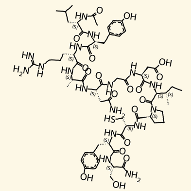 CC[C@H](C)[C@H](NC(=O)[C@H](CC(=O)O)NC(=O)CNC(=O)[C@H](CC(N)=O)NC(=O)[C@H](C)NC(=O)[C@H](CCCNC(=N)N)NC(=O)[C@H](Cc1ccc(O)cc1)NC(=O)[C@H](CC(C)C)NC(C)=O)C(=O)N1CCC[C@H]1C(=O)N[C@@H](CS)C(=O)N[C@@H](Cc1ccc(O)cc1)C(=O)N[C@@H](CO)C(N)=O